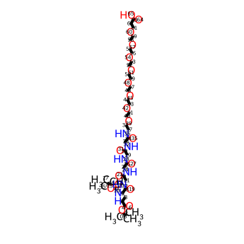 CC(C)(C)OC(=O)CC[C@H](NC(=O)OC(C)(C)C)C(=O)NCC(=O)NCC(=O)NCC(=O)NCC(=O)NCCOCCOCCOCCOCCOCCOCCOCCOCCC(=O)O